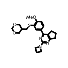 COc1ccc(-c2nc(N3CCC3)nc3c2CCC3)cc1SCC1COCOC1